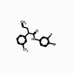 C=CCC(C(=O)Nc1ccc(Br)c(F)c1)c1cccc(C(F)(F)F)c1